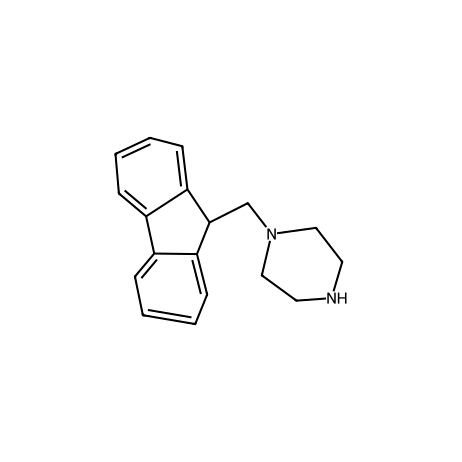 c1ccc2c(c1)-c1ccccc1C2CN1CCNCC1